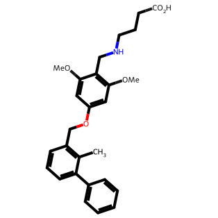 COc1cc(OCc2cccc(-c3ccccc3)c2C)cc(OC)c1CNCCCC(=O)O